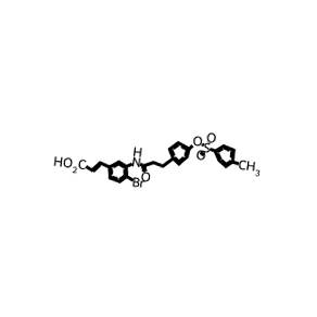 Cc1ccc(S(=O)(=O)Oc2ccc(CCC(=O)Nc3cc(/C=C/C(=O)O)ccc3Br)cc2)cc1